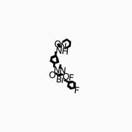 Cc1nc(OCc2ccc(F)cc2F)c(Br)c(=O)n1Cc1ccc(CNC(=O)N2CCCCC2)cc1